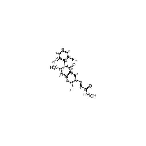 Cc1nc2cc(F)c(/C=C/C(=O)NO)cc2c(=O)n1-c1c(F)cccc1F